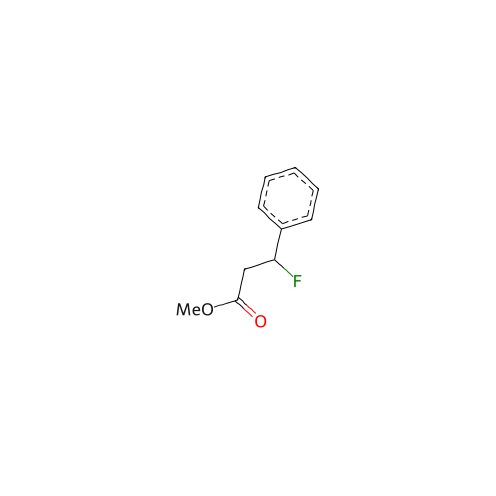 COC(=O)CC(F)c1ccccc1